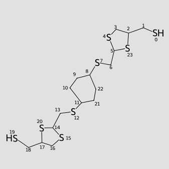 SCC1CSC(CSC2CCC(SCC3SCC(CS)S3)CC2)S1